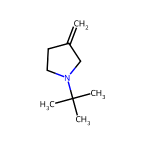 C=C1CCN(C(C)(C)C)C1